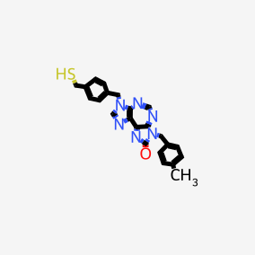 Cc1ccc(Cn2c3ncnc4c(ncn4Cc4ccc(CS)cc4)c-3nc2=O)cc1